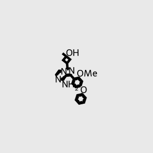 COc1cc(Oc2ccccc2)ccc1-c1nc(C2CC(C)(O)C2)n2ccnc(N)c12